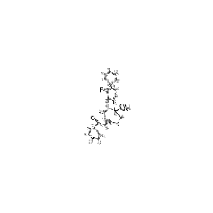 O=C(CN1CCC(O)(c2ccc(-c3ccccc3)c(F)c2)CC1)c1ccccc1